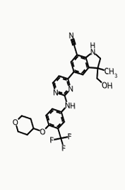 CC1(CO)CNc2c(C#N)cc(-c3ccnc(Nc4ccc(OC5CCOCC5)c(C(F)(F)F)c4)n3)cc21